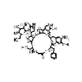 N=C1NCC(C(O)C2NC(=O)C(Cc3ccc(O)c([N+](=O)[O-])c3)NC(=O)C(Cc3ccccc3)NCC(=O)CNC(=O)C(CO)NC(=O)C(C(O)C3CNC(=N)N3C3OC(CO)C(O)C(O)C3O)NC2=O)N1